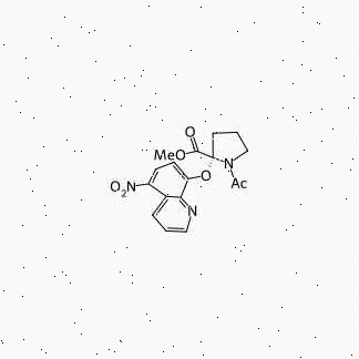 COC(=O)[C@@]1(Oc2ccc([N+](=O)[O-])c3cccnc23)CCCN1C(C)=O